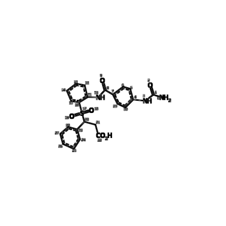 NC(=O)Nc1ccc(C(=O)Nc2ccccc2S(=O)(=O)C(CC(=O)O)c2ccccc2)cc1